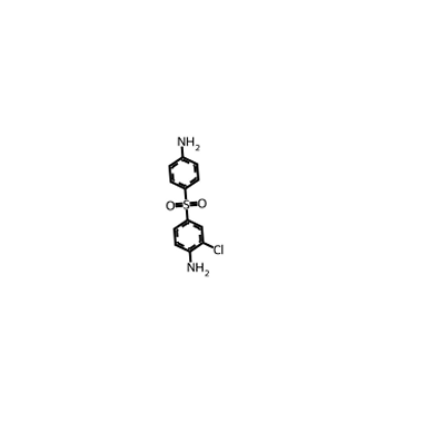 Nc1ccc(S(=O)(=O)c2ccc(N)c(Cl)c2)cc1